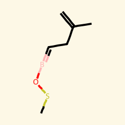 C=C(C)CC=BOSC